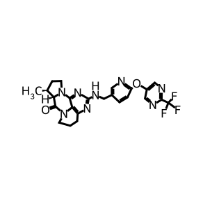 C[C@H]1CCN2c3nc(NCc4ccc(Oc5cnc(C(F)(F)F)nc5)nc4)nc4c3N(CCC4)C(=O)[C@H]12